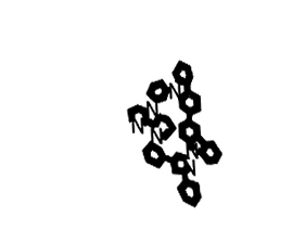 c1ccc(-c2cc(-c3ccccc3)nc(-n3c4ccccc4c4cc(-c5ccc6c7ccccc7n(-c7cccc(-n8c9cccnc9c9ncccc98)c7)c6c5)ccc43)c2)cc1